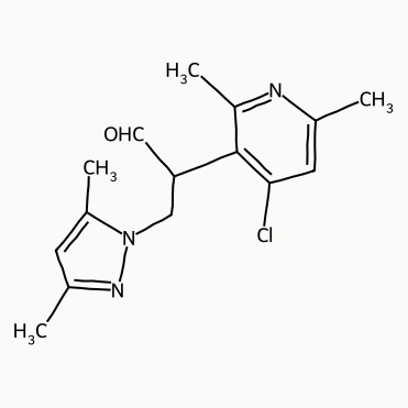 Cc1cc(Cl)c(C(C=O)Cn2nc(C)cc2C)c(C)n1